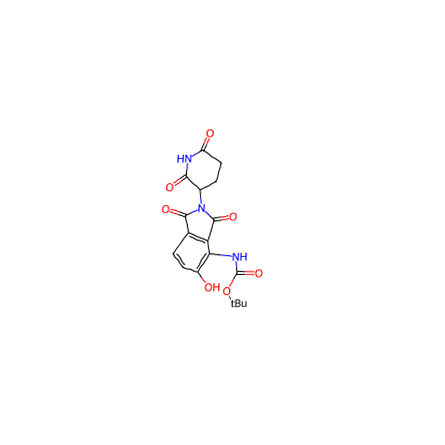 CC(C)(C)OC(=O)Nc1c(O)ccc2c1C(=O)N(C1CCC(=O)NC1=O)C2=O